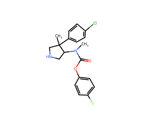 CN(C(=O)Oc1ccc(F)cc1)C1CNCC1(C)c1ccc(Cl)cc1